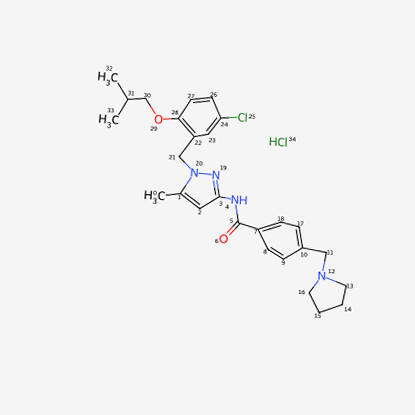 Cc1cc(NC(=O)c2ccc(CN3CCCC3)cc2)nn1Cc1cc(Cl)ccc1OCC(C)C.Cl